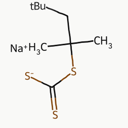 CC(C)(C)CC(C)(C)SC(=S)[S-].[Na+]